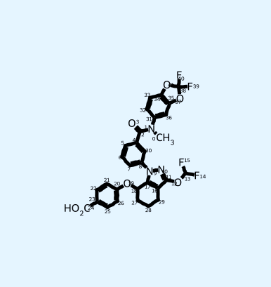 CN(C(=O)c1cccc(-n2nc(OC(F)F)c3c2C(Oc2ccc(C(=O)O)cc2)CCC3)c1)c1ccc2c(c1)OC(F)(F)O2